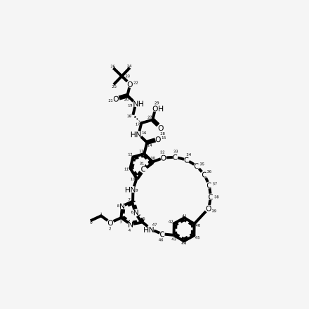 CCOc1nc2nc(n1)Nc1ccc(C(=O)N[C@H](CNC(=O)OC(C)(C)C)C(=O)O)c(c1)OCCCCCCOc1ccc(cc1)CN2